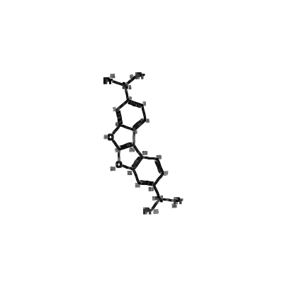 CC(C)N(c1ccc2c(c1)oc1oc3cc(N(C(C)C)C(C)C)ccc3c12)C(C)C